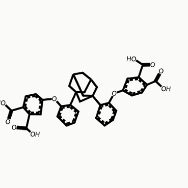 O=C(O)c1ccc(Oc2ccccc2C23CC4CC(C2)CC(c2ccccc2Oc2ccc(C(=O)O)c(C(=O)O)c2)(C4)C3)cc1C(=O)O